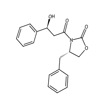 O=C(C[C@H](O)c1ccccc1)N1C(=O)OC[C@@H]1Cc1ccccc1